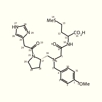 COc1ccc(CN(CC(=O)NC(CCSC)C(=O)O)C[C@@H]2CCCN2C(=O)Cc2c[nH]cn2)cc1